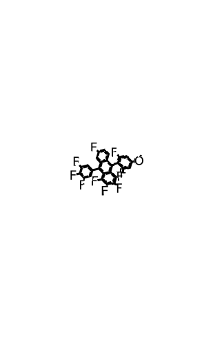 COc1cc(F)c(-c2c3ccc(F)cc3c(-c3cc(F)c(F)c(F)c3)c3c(F)c(F)c(F)c(F)c23)c(F)c1